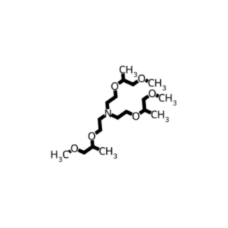 COCC(C)OCCN(CCOC(C)COC)CCOC(C)COC